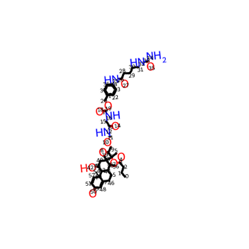 CCCC1OCC(C(=O)COCNC(=O)CNC(=O)OCc2ccc(NC(=O)CCCCNC(N)=O)cc2)(C2(C)C[C@H](O)C3C(CCC4=CC(=O)C=C[C@@]43C)C2C)O1